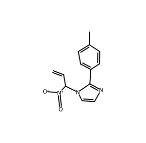 C=CC(n1ccnc1-c1ccc(C)cc1)[N+](=O)[O-]